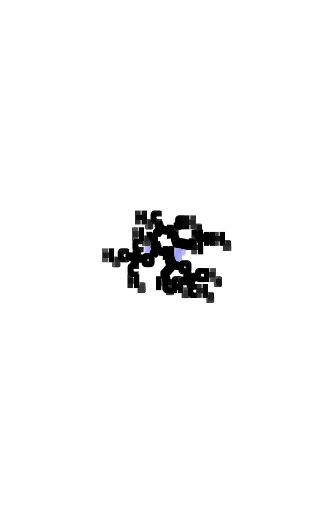 CC/C(=N\C(=N/C(C)N(C)/C=C\NN)OC(C)(C)C)OC(C)(C)C